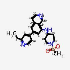 CCc1cc(-c2cc(NC3CCN(S(C)(=O)=O)CC3)c3cnccc3c2)ccn1